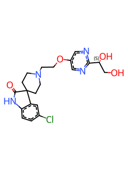 O=C1Nc2ccc(Cl)cc2C12CCN(CCOc1cnc([C@H](O)CO)nc1)CC2